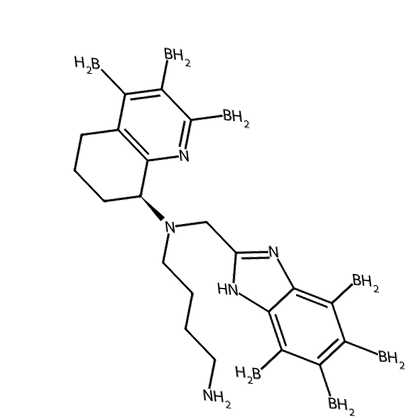 Bc1nc2c(c(B)c1B)CCC[C@@H]2N(CCCCN)Cc1nc2c(B)c(B)c(B)c(B)c2[nH]1